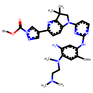 COc1cc(N(C)CCN(C)C)c(N)cc1Nc1nccc(N2CC(C)(C)c3nc(-c4cnn(C(=O)OC(C)(C)C)c4)ccc32)n1